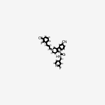 N#Cc1ccc2c(c1)c1c(n2C(=O)NCc2ccnc(F)c2)CCN(C/C=C/c2cccc(Cl)c2F)C1